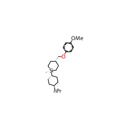 CCC[C@H]1CC[C@H]([Si@]2(C)CC[C@@H](COc3ccc(OC)cc3)CC2)CC1